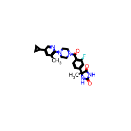 Cc1cc(C2CC2)cnc1N1CCN(C(=O)c2ccc([C@@]3(C)NC(=O)NC3=O)cc2F)CC1